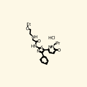 CCOCCNCC(=O)Nc1nc(-c2ccccc2)c(-c2ccc(=O)n(C(C)C)n2)s1.Cl